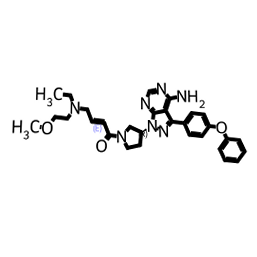 CCN(C/C=C/C(=O)N1CC[C@@H](n2nc(-c3ccc(Oc4ccccc4)cc3)c3c(N)ncnc32)C1)CCOC